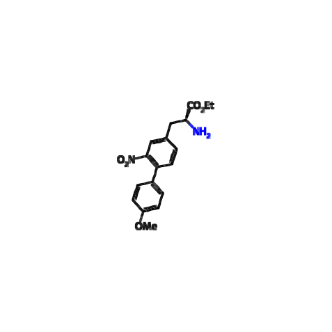 CCOC(=O)[C@@H](N)Cc1ccc(-c2ccc(OC)cc2)c([N+](=O)[O-])c1